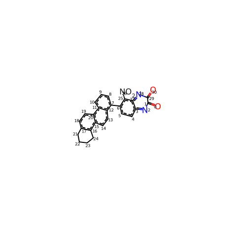 O=C1N=c2ccc(-c3cccc4c3ccc3c5c(ccc34)CCCC5)c([N+](=O)[O-])c2=NC1=O